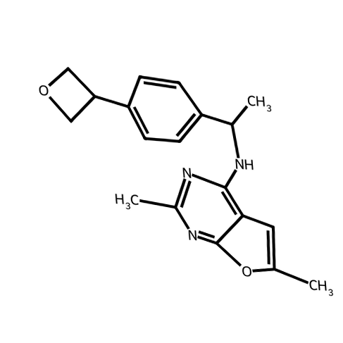 Cc1nc(NC(C)c2ccc(C3COC3)cc2)c2cc(C)oc2n1